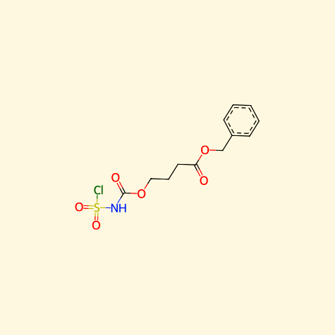 O=C(CCCOC(=O)NS(=O)(=O)Cl)OCc1ccccc1